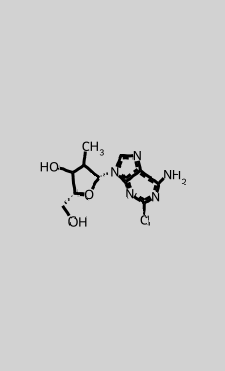 CC1C(O)[C@@H](CO)O[C@H]1n1cnc2c(N)nc(Cl)nc21